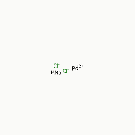 [Cl-].[Cl-].[NaH].[Pd+2]